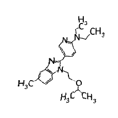 CCN(CC)c1ccc(-c2nc3cc(C)ccc3n2CCOC(C)C)cn1